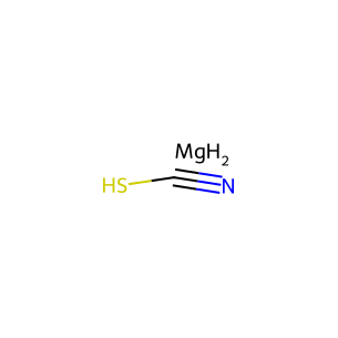 N#CS.[MgH2]